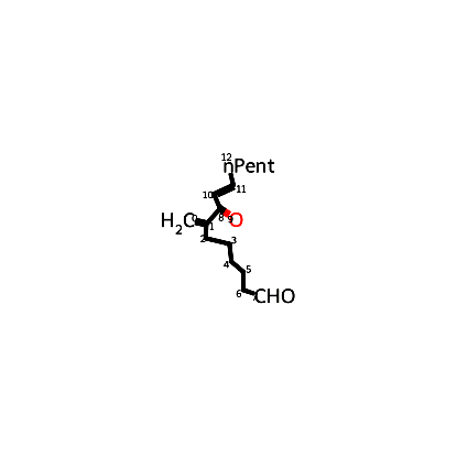 C=C(CCCCCC=O)C(=O)C=CCCCCC